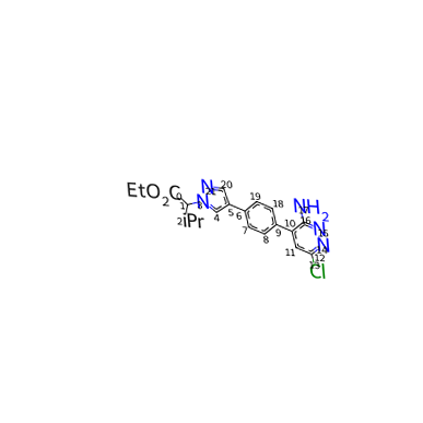 CCOC(=O)C(C(C)C)n1cc(-c2ccc(-c3cc(Cl)nnc3N)cc2)cn1